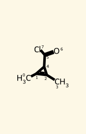 CC1=C(C)C1C(=O)Cl